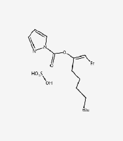 CCC=C(CCCCC(C)(C)C)OC(=O)n1cccn1.O=S(=O)(O)O